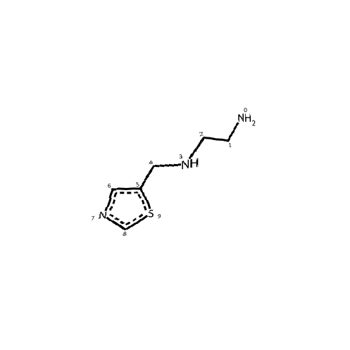 NCCNCc1cncs1